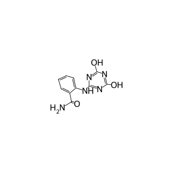 NC(=O)c1ccccc1Nc1nc(O)nc(O)n1